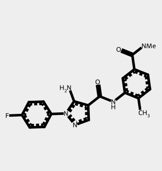 CNC(=O)c1ccc(C)c(NC(=O)c2cnn(-c3ccc(F)cc3)c2N)c1